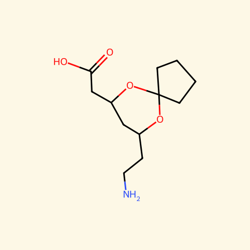 NCCC1CC(CC(=O)O)OC2(CCCC2)O1